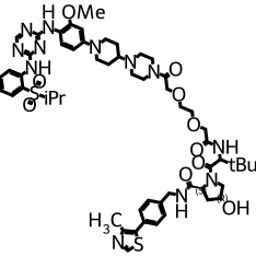 COc1cc(N2CCC(N3CCN(C(=O)COCCOCC(=O)NC(C(=O)N4C[C@H](O)C[C@H]4C(=O)NCc4ccc(-c5scnc5C)cc4)C(C)(C)C)CC3)CC2)ccc1Nc1ncnc(Nc2ccccc2S(=O)(=O)C(C)C)n1